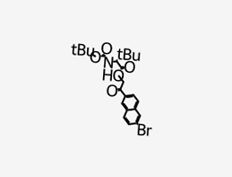 CC(C)(C)OC(=O)N[C@H](C(=O)OCC(=O)c1ccc2cc(Br)ccc2c1)C(C)(C)C